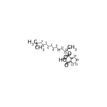 CC(C)CCCCCCCCCCC(C)OC(=O)C1CCCCC1C(=O)O